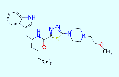 CCCCC(Cc1c[nH]c2ccccc12)NC(=O)c1nnc(N2CCN(CCOC)CC2)s1